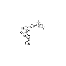 CC(C)(C)OC(=O)N1CCN(C2CCNc3c2nn(-c2ccc(Oc4ccccc4F)cc2)c3C(N)=O)CC1